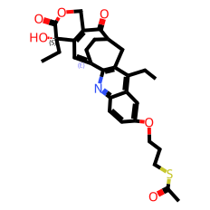 CCc1c2c(nc3ccc(OCCCSC(C)=O)cc13)/C1=C/C3=C(COC(=O)[C@]3(O)CC)C(=O)C(CC1)C2